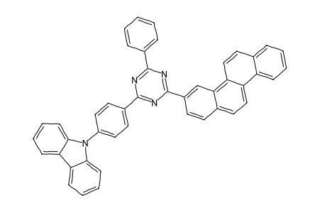 c1ccc(-c2nc(-c3ccc(-n4c5ccccc5c5ccccc54)cc3)nc(-c3ccc4ccc5c6ccccc6ccc5c4c3)n2)cc1